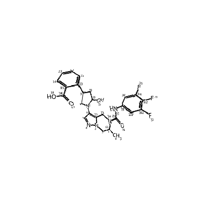 C[C@H]1Cn2ncc(N3CC(c4ccccc4C(=O)O)CC3O)c2CN1C(=O)Nc1cc(F)c(F)c(F)c1